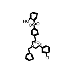 O=S(=O)(c1ccc(CCN(Cc2ccccc2)C[C@H](O)c2cccc(Cl)c2)cc1)c1ccccc1O